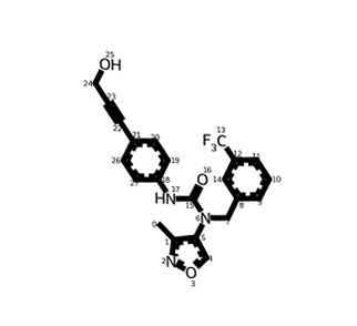 Cc1nocc1N(Cc1cccc(C(F)(F)F)c1)C(=O)Nc1ccc(C#CCO)cc1